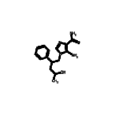 CC(O)CC(Cn1cnc(C(N)=O)c1N)c1ccccc1